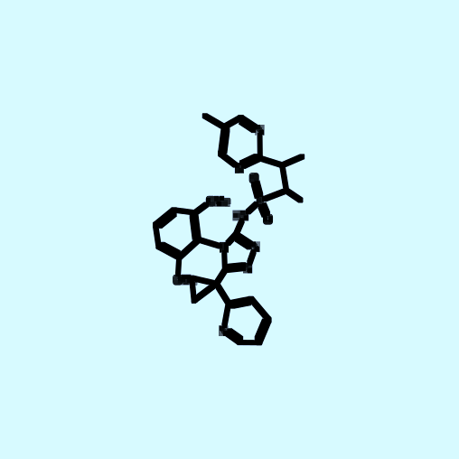 COc1cccc(OC)c1-n1c(NS(=O)(=O)C(C)C(C)c2ncc(C)cn2)nnc1C1(c2ccccn2)CC1